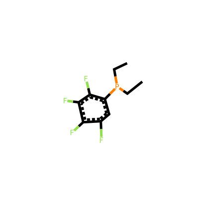 CCP(CC)c1cc(F)c(F)c(F)c1F